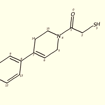 O=C(CS)N1CC=C(c2ccccc2)CC1